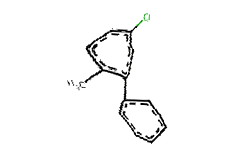 Cc1c[c]c(Cl)cc1-c1ccccc1